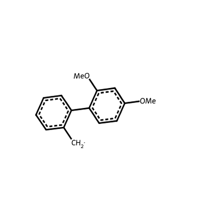 [CH2]c1ccccc1-c1ccc(OC)cc1OC